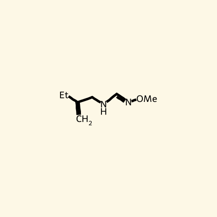 C=C(CC)CN/C=N/OC